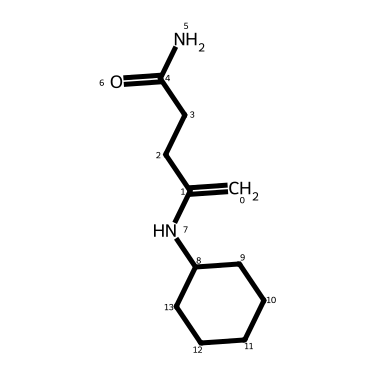 C=C(CCC(N)=O)NC1CCCCC1